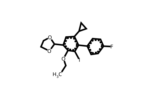 CCOc1c(C2OCCO2)cc(C2CC2)c(-c2ccc(F)cc2)c1I